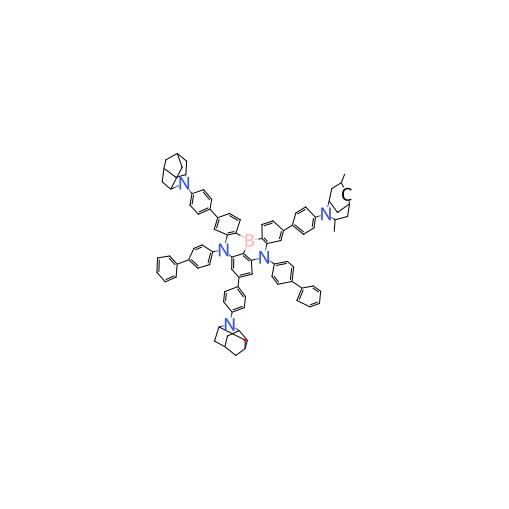 CC1CC2CC(C)N(c3ccc(-c4ccc5c(c4)N(c4ccc(-c6ccccc6)cc4)c4cc(-c6ccc(N7C8CC9CC(C8)CC7C9)cc6)cc6c4B5c4ccc(-c5ccc(N7C8CC9CC(C8)CC7C9)cc5)cc4N6c4ccc(-c5ccccc5)cc4)cc3)C(C1)C2